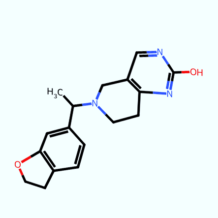 CC(c1ccc2c(c1)OCC2)N1CCc2nc(O)ncc2C1